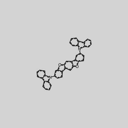 c1ccc2c(c1)c1ccccc1n2-c1ccc2c(c1)oc1cc3c(cc12)oc1ccc(-n2c4ccccc4c4ccccc42)cc13